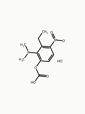 CCc1c([N+](=O)[O-])ccc(OC(=O)O)c1N(C)C.Cl